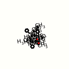 CC(=O)Oc1ccc(C[N+]2(CC(=O)N[C@@H](CCc3ccccc3)C(=O)N[C@@H](CC(C)C)C(=O)N[C@@H](Cc3ccccc3)C(=O)N[C@@H](CC(C)C)C(=O)[C@@]3(C)CO3)CCOCC2)cc1C(C)=O.CS(=O)(=O)[O-]